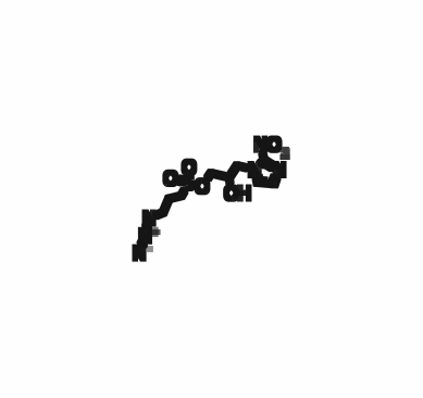 [N-]=[N+]=NCCCS(=O)(=O)OCC(O)Cn1ccnc1[N+](=O)[O-]